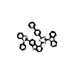 c1ccc(-c2ccc(-c3nc(-c4cccc5sc6cc(-c7nc8ccccc8n7-c7ccccc7)ccc6c45)nc(-n4c5ccccc5c5ccccc54)n3)cc2)cc1